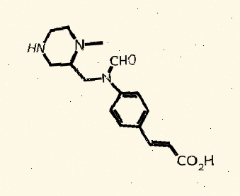 CN1CCNCC1CN(C=O)c1ccc(/C=C/C(=O)O)cc1